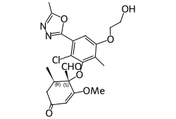 COC1=CC(=O)C[C@@H](C)[C@]1(C=O)Oc1c(C)c(OCCO)cc(-c2nnc(C)o2)c1Cl